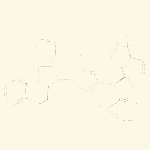 CC1=C(C)C(C)(C)c2ccc3c4c(n(-c5cc(C#N)c(-n6c7ccccc7c7c8ccccc8ccc76)cc5C#N)c3c21)C=CCC4